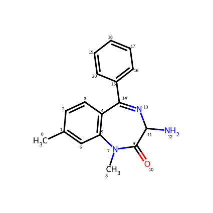 Cc1ccc2c(c1)N(C)C(=O)C(N)N=C2c1ccccc1